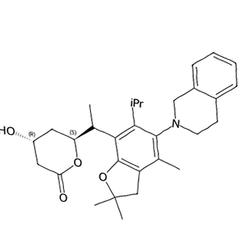 Cc1c2c(c(C(C)[C@@H]3C[C@@H](O)CC(=O)O3)c(C(C)C)c1N1CCc3ccccc3C1)OC(C)(C)C2